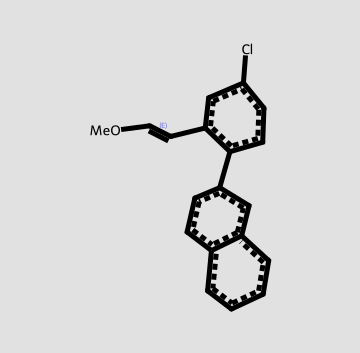 CO/C=C/c1cc(Cl)ccc1-c1ccc2ccccc2c1